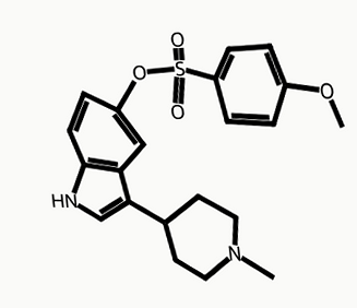 COc1ccc(S(=O)(=O)Oc2ccc3[nH]cc(C4CCN(C)CC4)c3c2)cc1